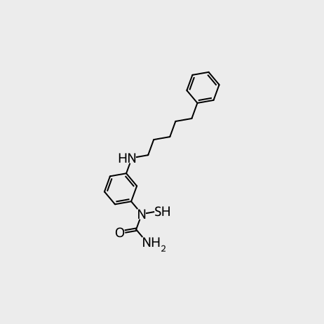 NC(=O)N(S)c1cccc(NCCCCCc2ccccc2)c1